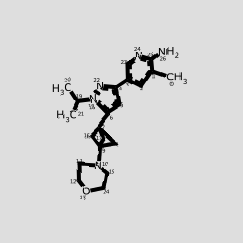 Cc1cc(-c2cc(C34CC(N5CCOCC5)(C3)C4)n(C(C)C)n2)cnc1N